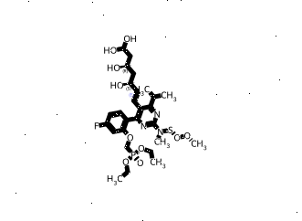 CCOP(=O)(COc1cc(F)ccc1-c1nc(N(C)SOOC)nc(C(C)C)c1/C=C/[C@@H](O)C[C@@H](O)CC(O)O)OCC